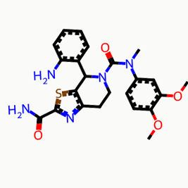 COc1ccc(N(C)C(=O)N2CCc3nc(C(N)=O)sc3C2c2ccccc2N)cc1OC